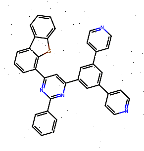 c1ccc(-c2nc(-c3cc(-c4ccncc4)cc(-c4ccncc4)c3)cc(-c3cccc4c3sc3ccccc34)n2)cc1